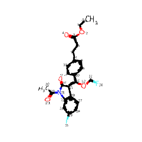 CCOC(=O)CCc1ccc(C(OCF)=C2C(=O)N(C(C)=O)c3cc(F)ccc32)cc1